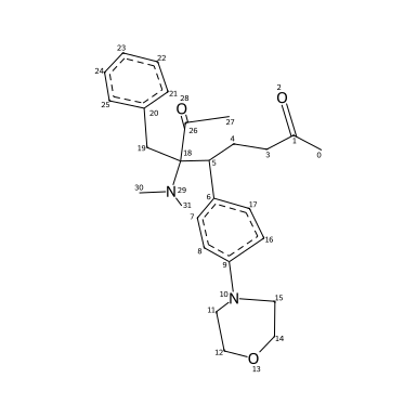 CC(=O)CCC(c1ccc(N2CCOCC2)cc1)C(Cc1ccccc1)(C(C)=O)N(C)C